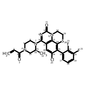 C=CC(=O)N1CCN(c2nc(=O)n3c4c(c(-c5cccc(F)c5F)c(Cl)cc24)SCC3)[C@@H](C)C1